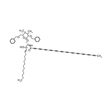 CC#CC#CC#CC#CC#CC#CC#CC#CC#CC#CC#CC#CC(=O)N[C@@H](CO[C@H]1OC(COCc2ccccc2)[C@H](C)[C@H](C)C1OCc1ccccc1)[C@H](O)/C=C/CCCCCCCCCCCC